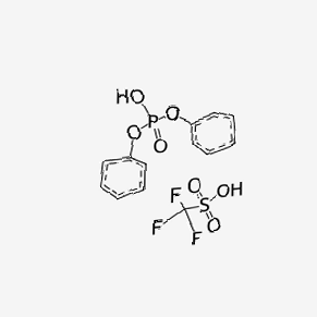 O=P(O)(Oc1ccccc1)Oc1ccccc1.O=S(=O)(O)C(F)(F)F